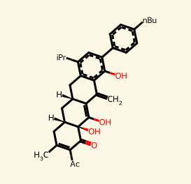 C=C1C2=C(O)[C@]3(O)C(=O)C(C(C)=O)=C(C)C[C@@H]3C[C@@H]2Cc2c(C(C)C)cc(-c3ccc(CCCC)cc3)c(O)c21